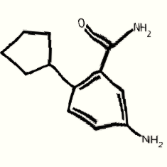 NC(=O)c1cc(N)ccc1C1CCCC1